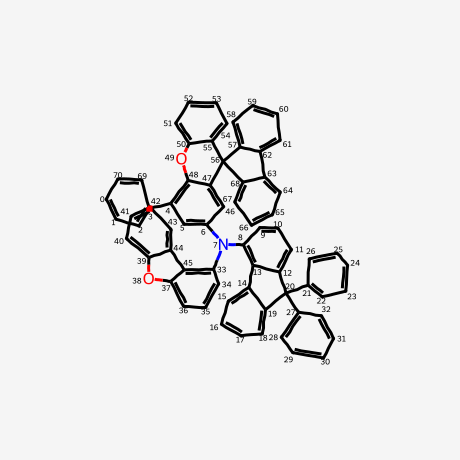 c1ccc(-c2cc(N(c3cccc4c3-c3ccccc3C4(c3ccccc3)c3ccccc3)c3cccc4oc5ccccc5c34)cc3c2Oc2ccccc2C32c3ccccc3-c3ccccc32)cc1